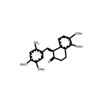 COc1cc(C=C2C(=O)CCc3c2ccc(OC)c3OC)c([N+](=O)[O-])cc1OC